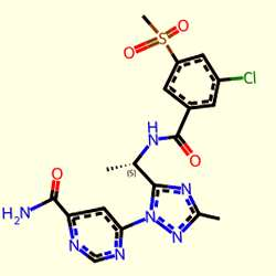 Cc1nc([C@H](C)NC(=O)c2cc(Cl)cc(S(C)(=O)=O)c2)n(-c2cc(C(N)=O)ncn2)n1